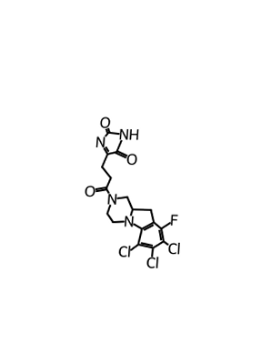 O=C1N=C(CCC(=O)N2CCN3c4c(Cl)c(Cl)c(Cl)c(F)c4CC3C2)C(=O)N1